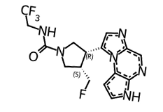 O=C(NCC(F)(F)F)N1C[C@@H](CF)[C@@H](c2cnc3cnc4[nH]ccc4n23)C1